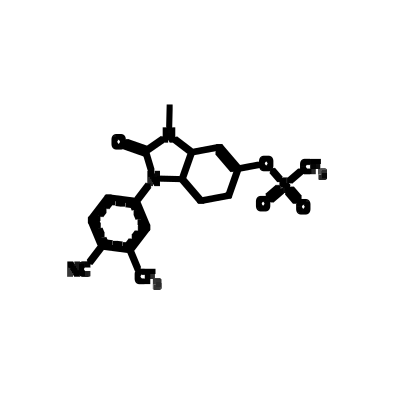 CN1C(=O)N(c2ccc(C#N)c(C(F)(F)F)c2)C2CCC(OS(=O)(=O)C(F)(F)F)=CC21